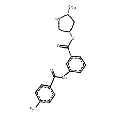 O=C(Nc1cccc(C(=O)O[C@@H]2CN[C@H](C(=O)O)C2)c1)c1ccc(C(F)(F)F)cc1